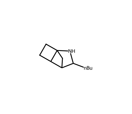 CCCCC1NC23CCC2C1C3